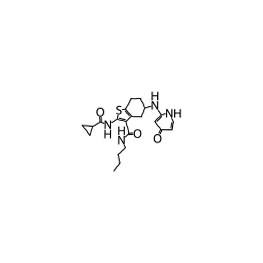 CCCCNC(=O)c1c(NC(=O)C2CC2)sc2c1CC(Nc1cc(=O)cc[nH]1)CC2